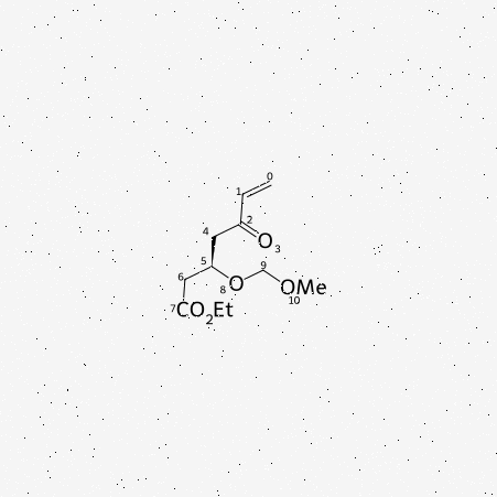 C=CC(=O)C[C@H](CC(=O)OCC)OCOC